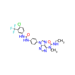 CCNC(=O)N(C)c1ncnc2c1ncn2-c1ccc(NC(=O)Nc2ccc(Cl)c(C(F)(F)F)c2)cc1